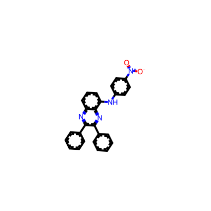 O=[N+]([O-])c1ccc(Nc2cccc3nc(-c4ccccc4)c(-c4ccccc4)nc23)cc1